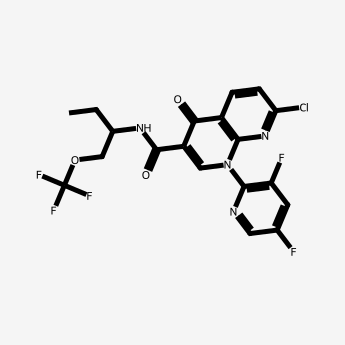 CCC(COC(F)(F)F)NC(=O)c1cn(-c2ncc(F)cc2F)c2nc(Cl)ccc2c1=O